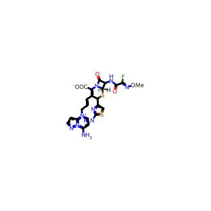 CON=C(F)C(=O)NC1C(=O)N2C(C(=O)[O-])=C(C=CC[n+]3ccc(N)n4nccc43)C(c3csc(N)n3)S[C@@H]12